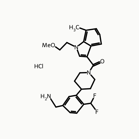 COCCn1cc(C(=O)N2CCC(c3cc(CN)ccc3C(F)F)CC2)c2cccc(C)c21.Cl